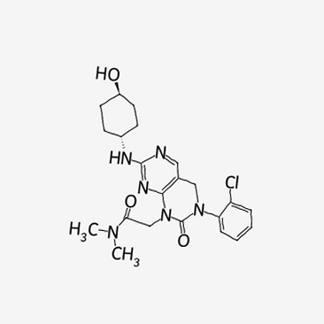 CN(C)C(=O)CN1C(=O)N(c2ccccc2Cl)Cc2cnc(N[C@H]3CC[C@H](O)CC3)nc21